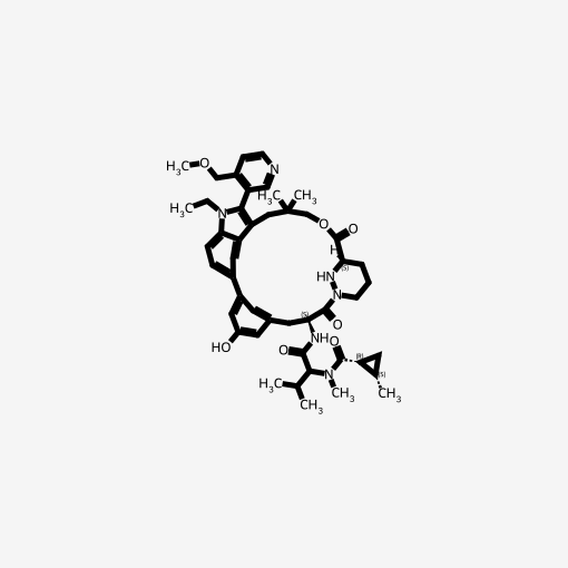 CCn1c(-c2cnccc2COC)c2c3cc(ccc31)-c1cc(O)cc(c1)C[C@H](NC(=O)C(C(C)C)N(C)C(=O)[C@@H]1C[C@@H]1C)C(=O)N1CCC[C@H](N1)C(=O)OCC(C)(C)C2